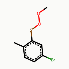 COOSc1cc(Br)ccc1C